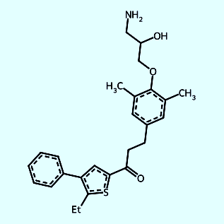 CCc1sc(C(=O)CCc2cc(C)c(OCC(O)CN)c(C)c2)cc1-c1ccccc1